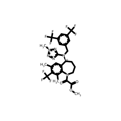 COC(=O)C(=O)N1CCC[C@H](N(Cc2cc(C(F)(F)F)cc(C(F)(F)F)c2)c2nnn(C)n2)c2cc(C)c(C(F)(F)F)c(C)c21